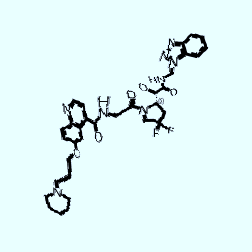 O=C(NCn1nnc2ccccc21)C(=O)[C@@H]1CC(F)(F)CN1C(=O)CNC(=O)c1ccnc2ccc(OCCCN3CCCCC3)cc12